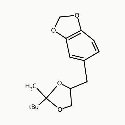 CC(C)(C)C1(C)OCC(Cc2ccc3c(c2)OCO3)O1